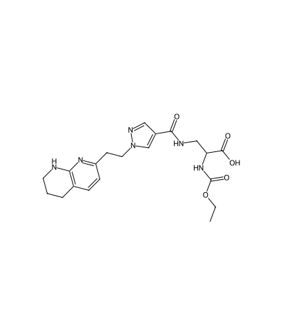 CCOC(=O)NC(CNC(=O)c1cnn(CCc2ccc3c(n2)NCCC3)c1)C(=O)O